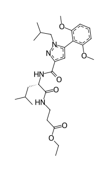 CCOC(=O)CCNC(=O)[C@H](CC(C)C)NC(=O)c1cc(-c2c(OC)cccc2OC)n(CC(C)C)n1